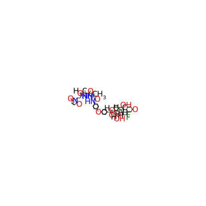 C[C@H](NC(=O)CCN1C(=O)C=CC1=O)C(=O)N[C@@H](C)C(=O)Nc1ccc(Oc2ccc([C@@H]3O[C@@H]4C[C@H]5[C@@H]6C[C@H](F)C7=CC(=O)C=C[C@]7(C)[C@@]6(F)[C@@H](O)C[C@]5(C)C4(C(=O)CO)O3)cc2)cc1